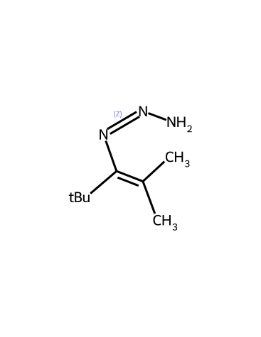 CC(C)=C(/N=N\N)C(C)(C)C